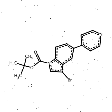 CC(C)(C)OC(=O)n1cc(Br)c2cc(-c3ccncc3)ccc21